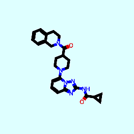 O=C(Nc1nc2cccc(N3CCC(C(=O)N4CCc5ccccc5C4)CC3)n2n1)C1CC1